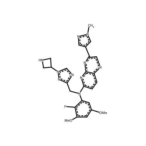 COc1cc(OC)c(F)c(N(Cc2ncn(C3CNC3)n2)c2ccc3ncc(-c4cnn(C)c4)nc3n2)c1